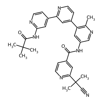 Cc1ncc(NC(=O)c2ccnc(C(C)(C)C#N)c2)cc1-c1ccnc(-c2ccnc(NC(=O)C(C)(C)C)c2)c1